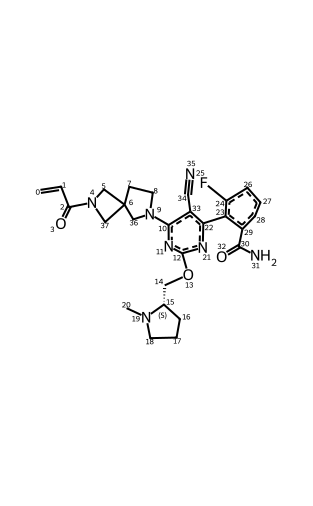 C=CC(=O)N1CC2(CCN(c3nc(OC[C@@H]4CCCN4C)nc(-c4c(F)cccc4C(N)=O)c3C#N)C2)C1